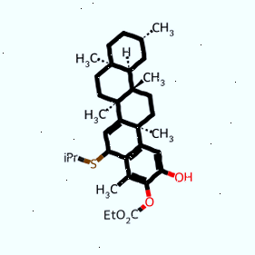 CCOC(=O)Oc1c(O)cc2c(c1C)C(SC(C)C)C=C1[C@@]2(C)CC[C@@]2(C)[C@@H]3C[C@@H](C)CC[C@]3(C)CC[C@]12C